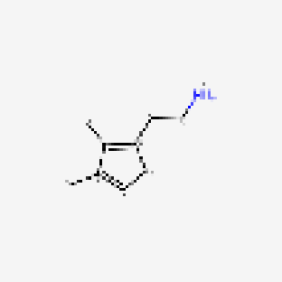 CC1=CCC(CCN)=C1C